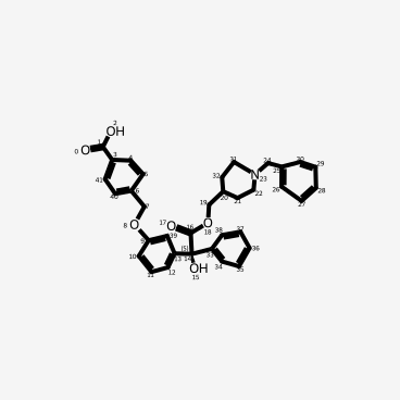 O=C(O)c1ccc(COc2cccc([C@](O)(C(=O)OCC3CCN(Cc4ccccc4)CC3)c3ccccc3)c2)cc1